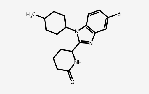 CC1CCC(n2c(C3CCCC(=O)N3)nc3cc(Br)ccc32)CC1